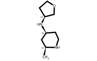 C[C@H]1C[C@@H](N[C@H]2CCOC2)CCN1